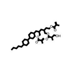 C=C(C)C(=O)OCCC(COC(=O)C(C)CO)CC(COC(=O)C(=C)C)CC1CCC(C2CCC(CCCCC)CC2)CC1